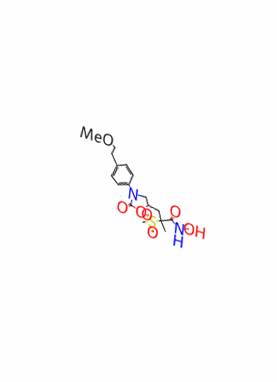 COCCc1ccc(N2CC(CC(C)(C(=O)NO)S(C)(=O)=O)OC2=O)cc1